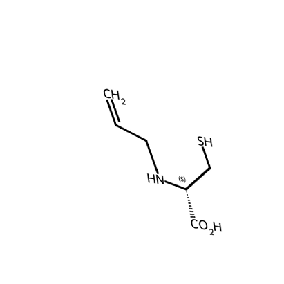 C=CCN[C@H](CS)C(=O)O